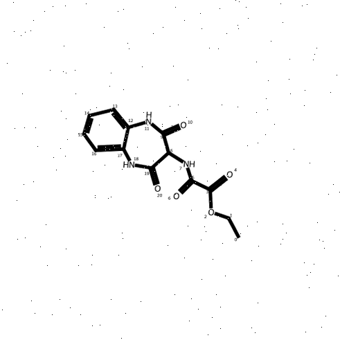 CCOC(=O)C(=O)NC1C(=O)Nc2ccccc2NC1=O